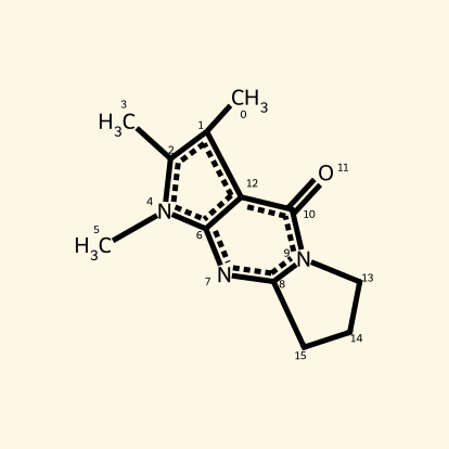 Cc1c(C)n(C)c2nc3n(c(=O)c12)CCC3